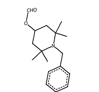 CC1(C)CC(OC=O)CC(C)(C)N1Cc1ccccc1